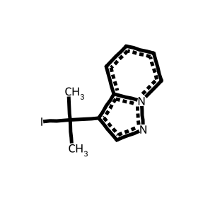 CC(C)(I)c1cnn2ccccc12